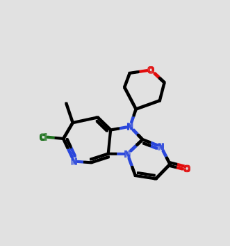 CC1C=c2c(n3ccc(=O)nc3n2C2CCOCC2)=CN=C1Cl